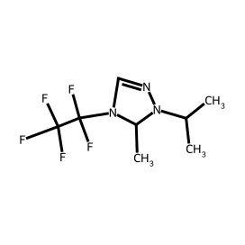 CC(C)N1N=CN(C(F)(F)C(F)(F)F)C1C